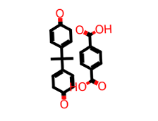 CC(C)(C1=CCC(=O)C=C1)C1=CCC(=O)C=C1.O=C(O)c1ccc(C(=O)O)cc1